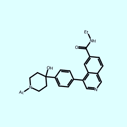 CCNC(=O)c1ccc2cncc(-c3ccc(C4(O)CCN(C(C)=O)CC4)cc3)c2c1